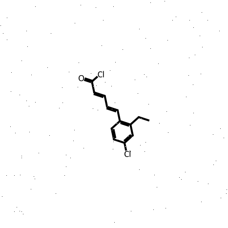 CCc1cc(Cl)ccc1/C=C/C=C/C(=O)Cl